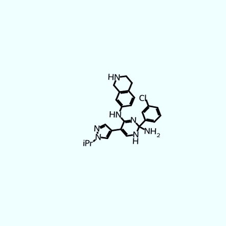 CC(C)n1cc(C2=CNC(N)(c3cccc(Cl)c3)N=C2Nc2ccc3c(c2)CNCC3)cn1